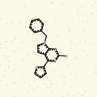 Clc1nc(-c2ccco2)c2ccn(Cc3ccccc3)c2n1